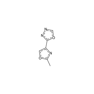 Cc1nc(-c2nnco2)co1